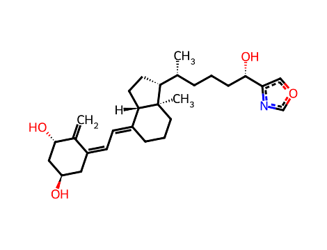 C=C1/C(=C\C=C2/CCC[C@]3(C)[C@@H]([C@H](C)CCC[C@H](O)c4cocn4)CC[C@@H]23)C[C@@H](O)C[C@@H]1O